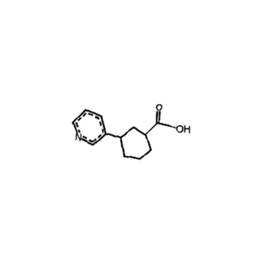 O=C(O)C1CCCC(c2cccnc2)C1